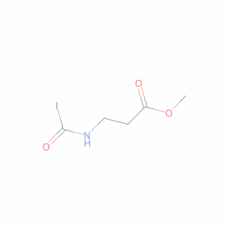 COC(=O)CCNC(=O)I